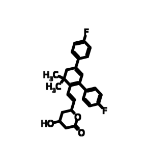 CC1(C)CC(c2ccc(F)cc2)=CC(c2ccc(F)cc2)=C1C=CC1CC(O)CC(=O)O1